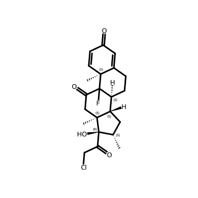 C[C@H]1C[C@H]2[C@@H]3CCC4=CC(=O)C=C[C@]4(C)C3(F)C(=O)C[C@]2(C)[C@@]1(O)C(=O)CCl